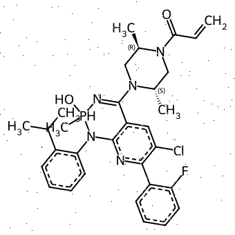 C=CC(=O)N1C[C@H](C)N(C2=N[PH](C)(O)N(c3ccccc3C(C)C)c3nc(-c4ccccc4F)c(Cl)cc32)C[C@H]1C